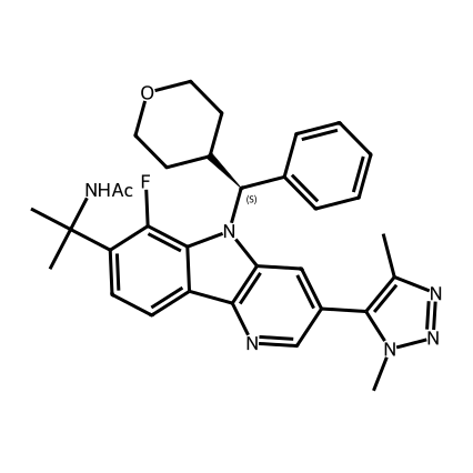 CC(=O)NC(C)(C)c1ccc2c3ncc(-c4c(C)nnn4C)cc3n([C@H](c3ccccc3)C3CCOCC3)c2c1F